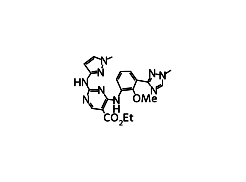 CCOC(=O)c1cnc(Nc2ccn(C)n2)nc1Nc1cccc(-c2ncn(C)n2)c1OC